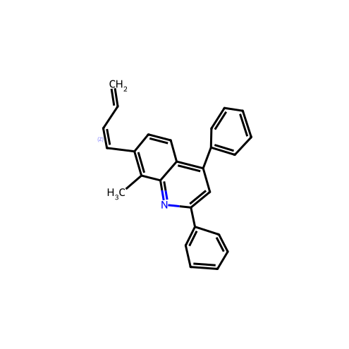 C=C/C=C\c1ccc2c(-c3ccccc3)cc(-c3ccccc3)nc2c1C